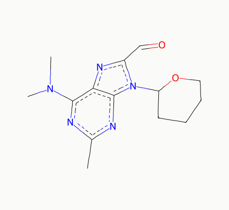 Cc1nc(N(C)C)c2nc(C=O)n(C3CCCCO3)c2n1